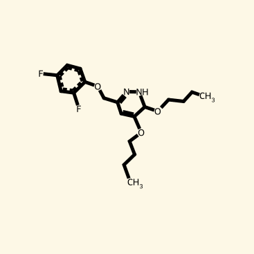 CCCCOC1=CC(COc2ccc(F)cc2F)=NNC1OCCCC